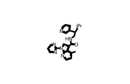 Cc1ccnc2c1c(C(=O)NCC(CC(C)C)c1cccnc1)cn2-c1ncccn1